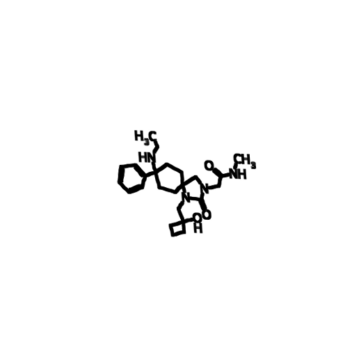 CCNC1(c2ccccc2)CCC2(CC1)CN(CC(=O)NC)C(=O)N2CC1(O)CCC1